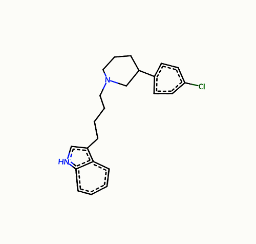 Clc1ccc(C2CCCN(CCCCc3c[nH]c4ccccc34)C2)cc1